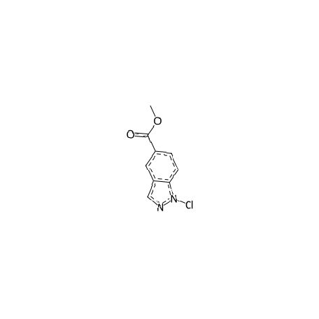 COC(=O)c1ccc2c(cnn2Cl)c1